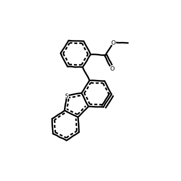 COC(=O)c1ccccc1-c1cc#cc2c1sc1ccccc12